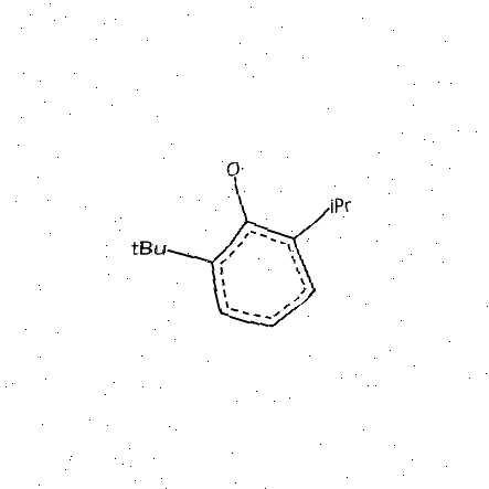 CC(C)c1cccc(C(C)(C)C)c1[O]